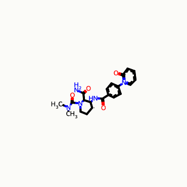 CN(C)C(=O)N1CC[CH]C(NC(=O)c2ccc(-n3ccccc3=O)cc2)C1C(N)=O